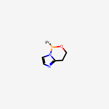 CC(C)P1OCCc2nccn21